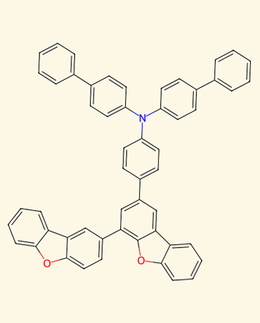 c1ccc(-c2ccc(N(c3ccc(-c4ccccc4)cc3)c3ccc(-c4cc(-c5ccc6oc7ccccc7c6c5)c5oc6ccccc6c5c4)cc3)cc2)cc1